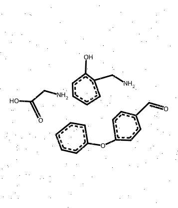 NCC(=O)O.NCc1ccccc1O.O=Cc1ccc(Oc2ccccc2)cc1